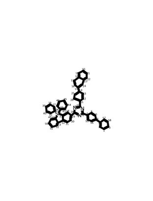 c1ccc(-c2ccc(-c3nc(-c4ccc(-c5ccc6ccccc6c5)cc4)nc(-c4ccc5c(c4)[Si](c4ccccc4)(c4ccccc4)c4ccccc4-5)n3)cc2)cc1